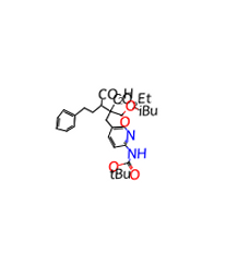 CCOC(=O)C(Cc1ccc(NC(=O)OC(C)(C)C)nc1)(C(=O)OC(C)CC)C(CCc1ccccc1)C(=O)O